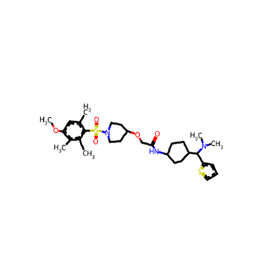 COc1cc(C)c(S(=O)(=O)N2CCC(OCC(=O)NC3CCC(C(c4cccs4)N(C)C)CC3)CC2)c(C)c1C